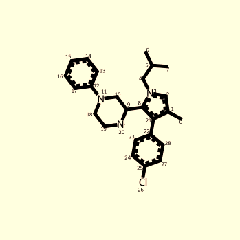 Cc1cn(CC(C)C)c(C2CN(c3ccccc3)CC[N]2)c1-c1ccc(Cl)cc1